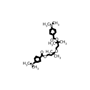 CN(C)c1ccc(C(=O)OCCC(C)(C)OCCC(C)(C)OC(=O)c2ccc(N(C)C)cc2)cc1